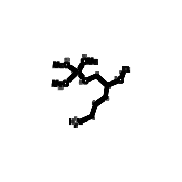 CCOC(CCCN)CO[Si](OC)(OC)OC